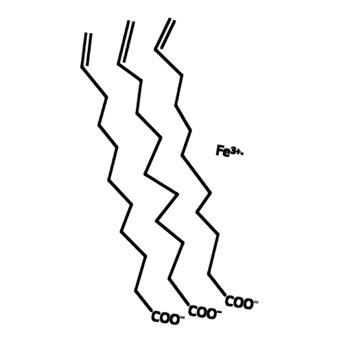 C=CCCCCCCCCC(=O)[O-].C=CCCCCCCCCC(=O)[O-].C=CCCCCCCCCC(=O)[O-].[Fe+3]